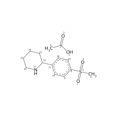 CC(=O)O.CS(=O)(=O)c1ccc(C2CCCCN2)cc1